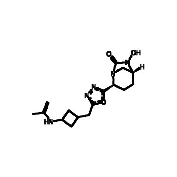 C=C(C)NC1CC(Cc2nnc([C@@H]3CC[C@@H]4CN3C(=O)N4O)o2)C1